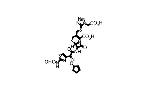 O=CNc1nc(C(=NOC2C=CCC2)C(=O)NC2C(=O)N3C(C(=O)O)=C(CSc4nnnn4CC(=O)O)CS[C@@H]23)cs1